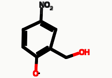 [O]c1ccc([N+](=O)[O-])cc1CO